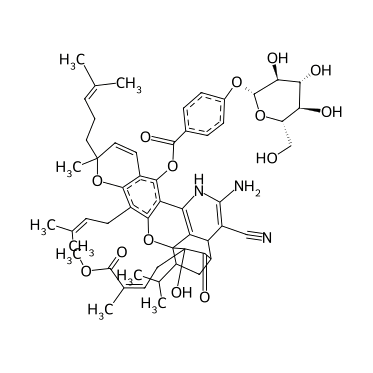 COC(=O)/C(C)=C\CC1(O)C(=O)C2CC(C(C)C)C13Oc1c(CC=C(C)C)c4c(c(OC(=O)c5ccc(O[C@H]6O[C@@H](CO)[C@H](O)[C@@H](O)[C@@H]6O)cc5)c1C1=C3C2C(C#N)=C(N)N1)C=CC(C)(CCC=C(C)C)O4